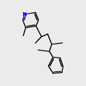 Cc1cnccc1C(C)CC(C)C(C)c1ccccc1